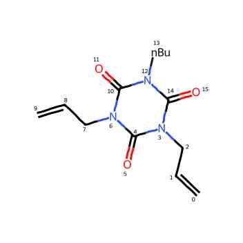 C=CCn1c(=O)n(CC=C)c(=O)n(CCCC)c1=O